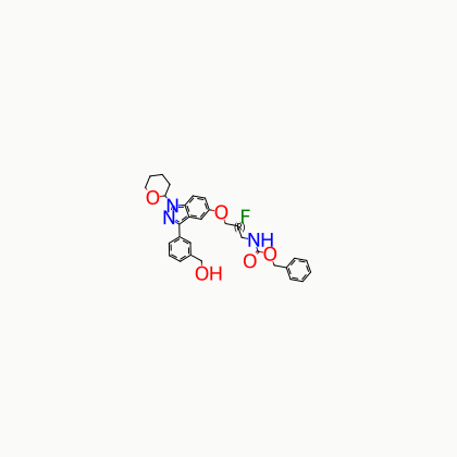 O=C(NC[C@@H](F)COc1ccc2c(c1)c(-c1cccc(CO)c1)nn2C1CCCCO1)OCc1ccccc1